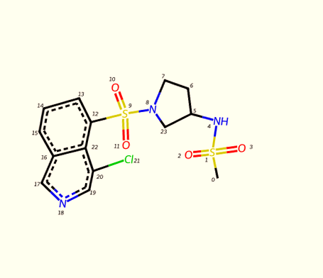 CS(=O)(=O)NC1CCN(S(=O)(=O)c2cccc3cncc(Cl)c23)C1